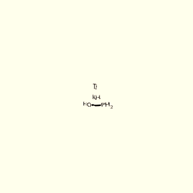 OP.[KH].[Ti]